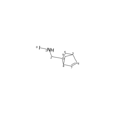 INCC1CC2C=CC1C2